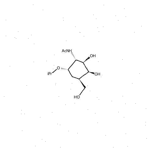 CC(=O)N[C@@H]1[C@@H](O)[C@@H](O)[C@@H](CO)C[C@@H]1OC(C)C